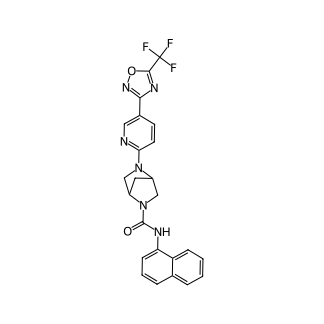 O=C(Nc1cccc2ccccc12)N1CC2CC1CN2c1ccc(-c2noc(C(F)(F)F)n2)cn1